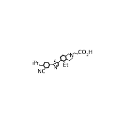 CCc1c(-c2cnc(-c3ccc(CC(C)C)c(C#N)c3)s2)ccc2c1CCN(CCC(=O)O)C2